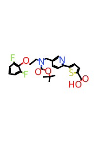 CC(C)(C)OC(=O)N(CCOc1c(F)cccc1F)Cc1ccc(-c2ccc(C(=O)O)s2)nc1